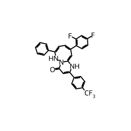 O=c1cc(-c2ccc(C(F)(F)F)cc2)[nH]c2cc(-c3ccc(F)cc3F)ccc(-c3ccccc3)[nH]n12